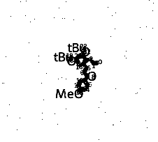 C=CCc1c(C=CC(=O)c2ccc(OC)cc2)cc(OC(C)(C)C)cc1OC(C)(C)C